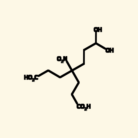 O=C(O)CCC(CCC(=O)O)(CCC(O)O)[N+](=O)[O-]